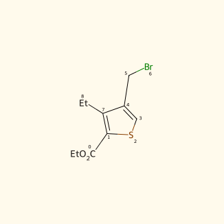 CCOC(=O)c1scc(CBr)c1CC